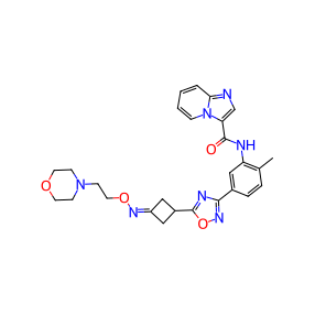 Cc1ccc(-c2noc(C3CC(=NOCCN4CCOCC4)C3)n2)cc1NC(=O)c1cnc2ccccn12